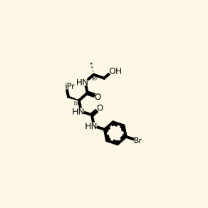 CC(C)C[C@H](NC(=O)Nc1ccc(Br)cc1)C(=O)N[C@H](C)CO